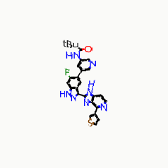 CC(C)(C)C(=O)Nc1cncc(-c2cc3c(-c4nc5c(-c6ccsc6)nccc5[nH]4)n[nH]c3cc2F)c1